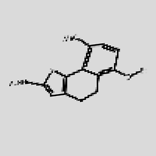 CCOc1ccc(OC)c2c1CCc1cc(NC(C)=O)sc1-2